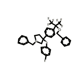 Fc1ccc(SC2(c3ccc(C(OCc4ccccc4)(C(F)(F)F)C(F)(F)F)cc3)CCN(Cc3ccccc3)C2)cc1